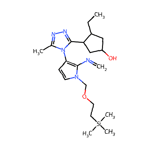 C=Nc1c(-n2c(C)nnc2C2CC(O)CC2CC)ccn1COCC[Si](C)(C)C